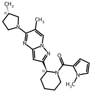 Cc1cn2nc([C@@H]3CCCCN3C(=O)c3cccn3C)cc2nc1N1CC[C@H](C)C1